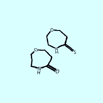 O=C1CCOCCN1.S=C1CCOCCN1